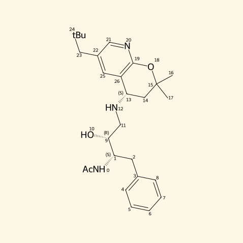 CC(=O)N[C@@H](Cc1ccccc1)[C@H](O)CN[C@H]1CC(C)(C)Oc2ncc(CC(C)(C)C)cc21